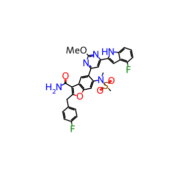 COc1nc(-c2cc3c(F)cccc3[nH]2)cc(-c2cc3c(C(N)=O)c(Cc4ccc(F)cc4)oc3cc2N(C)S(C)(=O)=O)n1